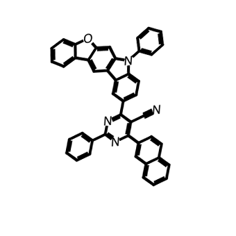 N#Cc1c(-c2ccc3ccccc3c2)nc(-c2ccccc2)nc1-c1ccc2c(c1)c1cc3c(cc1n2-c1ccccc1)oc1ccccc13